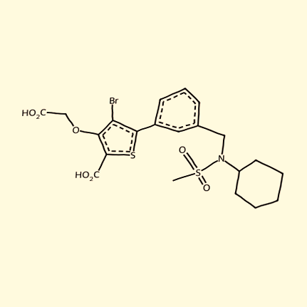 CS(=O)(=O)N(Cc1cccc(-c2sc(C(=O)O)c(OCC(=O)O)c2Br)c1)C1CCCCC1